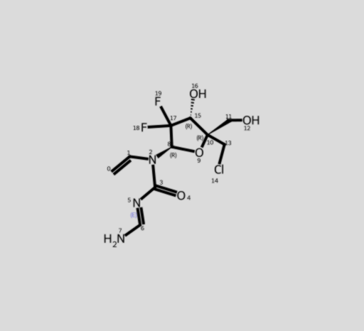 C=CN(C(=O)/N=C/N)[C@@H]1O[C@@](CO)(CCl)[C@@H](O)C1(F)F